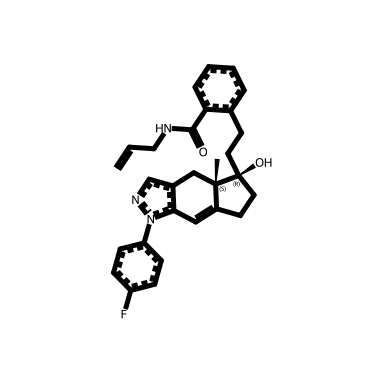 C=CCNC(=O)c1ccccc1CC[C@]1(O)CCC2=Cc3c(cnn3-c3ccc(F)cc3)C[C@@]21C